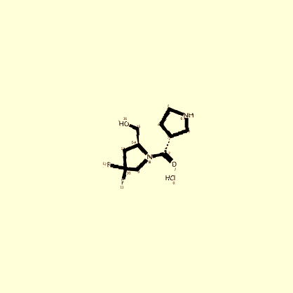 Cl.O=C([C@@H]1CCNC1)N1CC(F)(F)C[C@H]1CO